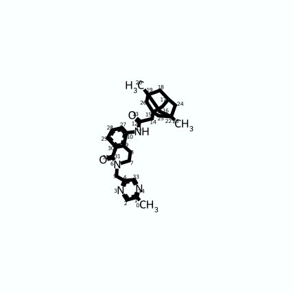 Cc1cnc(CN2CCc3c(NC(=O)CC45CC6CC(C)(CC(C)(C6)C4)C5)cccc3C2=O)cn1